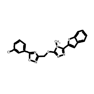 Cn1c(SCc2noc(-c3cccc(Cl)c3)n2)nnc1-c1cc2ccccc2s1